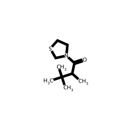 CC(C(=O)N1CCSC1)C(C)(C)C